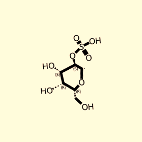 O=S(=O)(O)O[C@H]1[CH]O[C@H](CO)[C@H](O)[C@@H]1O